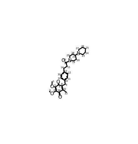 COC1=C(OC)C(=O)C(Cc2ccc(CCC(=O)N3CCC(N4CCCCC4)CC3)cc2)=C(C)C1=O